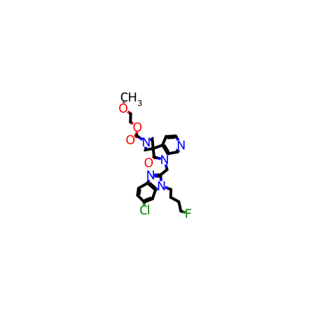 COCCOC(=O)N1CC2(C1)C(=O)N(Cc1nc3ccc(Cl)cc3n1CCCCF)c1cnccc12